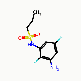 CCCS(=O)(=O)Nc1cc(F)cc(N)c1F